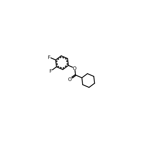 O=C(Oc1ccc(F)c(F)c1)C1CCCCC1